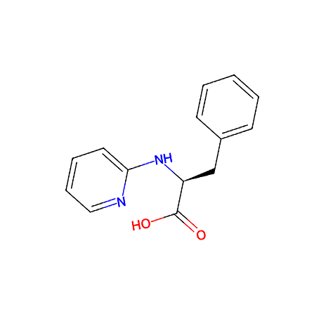 O=C(O)[C@H](Cc1ccccc1)Nc1ccccn1